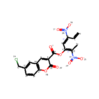 C=C/C(=C\C(OC(=O)c1cc2cc(CCl)ccc2oc1=O)=C(/C)[N+](=O)[O-])[N+](=O)[O-]